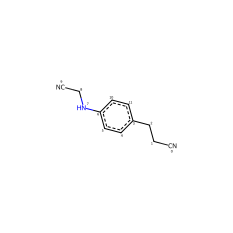 N#CCCc1ccc(NCC#N)cc1